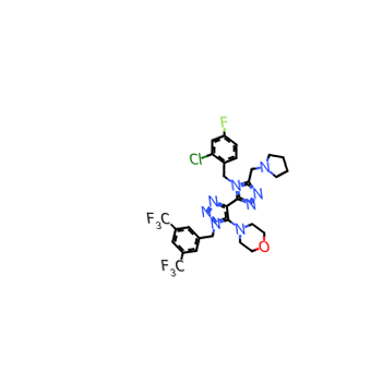 Fc1ccc(Cn2c(CN3CCCC3)nnc2-c2nnn(Cc3cc(C(F)(F)F)cc(C(F)(F)F)c3)c2N2CCOCC2)c(Cl)c1